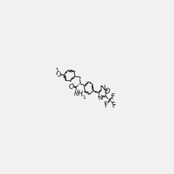 COc1ccc(CC(C(N)=O)c2ccc(-c3noc(C(F)(F)F)n3)cc2)cc1